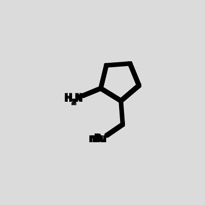 CCCCCC1CCCC1N